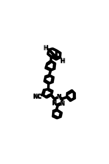 N#Cc1cc(-c2ccc(-c3ccc(C45CC6C[C@H](C4)C[C@@H](C6)C5)cc3)cc2)cc(-c2nc(-c3ccccc3)nc(-c3ccccc3)n2)c1